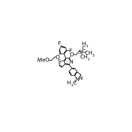 COCCOc1cc(F)cc(F)c1-c1c(OCC[Si](C)(C)C)nc(-c2ccc3c(cnn3C)c2)c2ccsc12